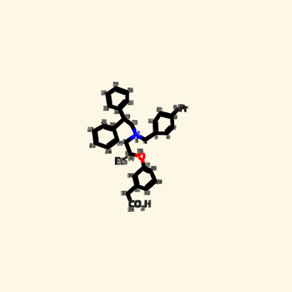 CC[C@H](CN(Cc1ccc(C(C)C)cc1)CC(c1ccccc1)c1ccccc1)Oc1cccc(CC(=O)O)c1